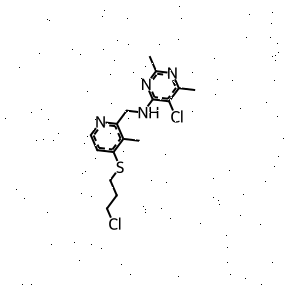 Cc1nc(C)c(Cl)c(NCc2nccc(SCCCCl)c2C)n1